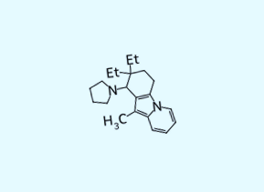 CCC1(CC)CCc2c(c(C)c3ccccn23)C1N1CCCC1